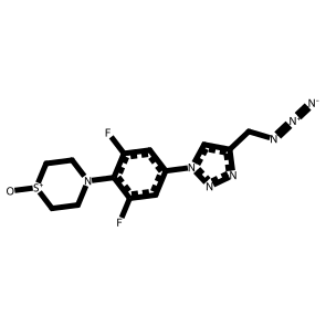 [N-]=[N+]=NCc1cn(-c2cc(F)c(N3CC[S+]([O-])CC3)c(F)c2)nn1